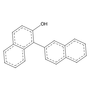 Oc1ccc2ccccc2c1-c1ccc2ccccc2c1